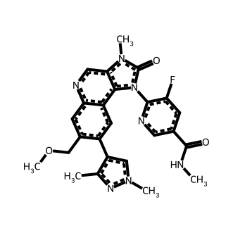 CNC(=O)c1cnc(-n2c(=O)n(C)c3cnc4cc(COC)c(-c5cn(C)nc5C)cc4c32)c(F)c1